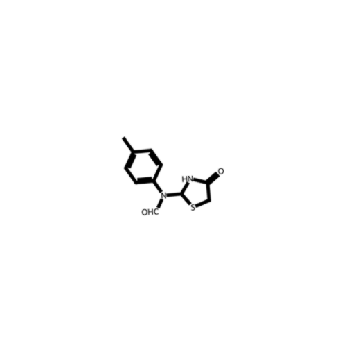 Cc1ccc(N(C=O)C2NC(=O)CS2)cc1